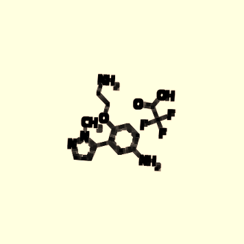 Cn1nccc1-c1cc(N)ccc1OCCN.O=C(O)C(F)(F)F